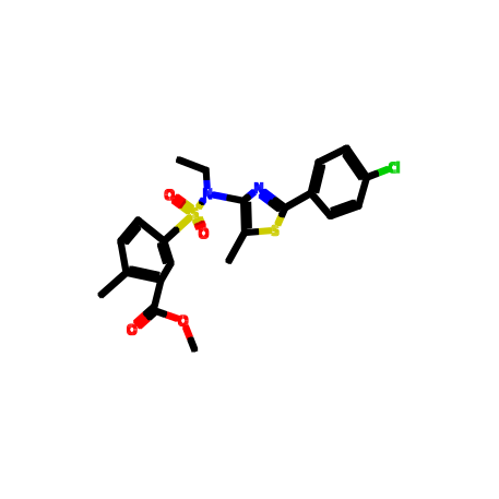 CCN(c1nc(-c2ccc(Cl)cc2)sc1C)S(=O)(=O)c1ccc(C)c(C(=O)OC)c1